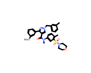 COc1cccc(-c2nn(Cc3cccc(C)c3)cc2C(=O)N(C)c2ccc(C)c(S(=O)(=O)N3CCOCC3)c2)c1